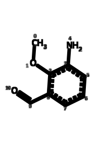 COc1c(N)cccc1C=O